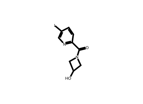 O=C(c1ccc(I)cn1)N1CC(O)C1